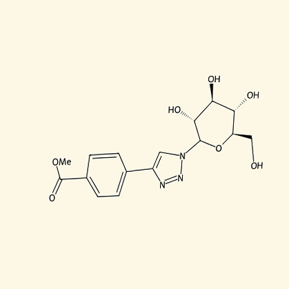 COC(=O)c1ccc(-c2cn(C3O[C@H](CO)[C@@H](O)[C@H](O)[C@H]3O)nn2)cc1